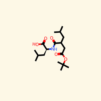 CC(C)CC(CC(=O)OC(C)(C)C)C(=O)N[C@@H](CC(C)C)C(=O)O